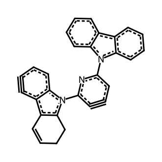 c1ccc2c(c#1)c1c(n2-c2c#ccc(-n3c4ccccc4c4ccccc43)n2)CCC=C1